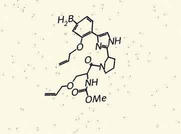 Bc1ccc(-c2c[nH]c(C3CCCN3C(=O)C(COCC=C)NC(=O)OC)n2)c(OCC=C)c1